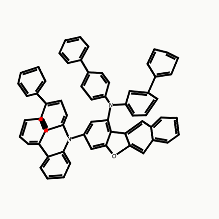 c1ccc(-c2ccc(N(c3cc(N(c4ccc(-c5ccccc5)cc4)c4cccc(-c5ccccc5)c4)c4c(c3)oc3cc5ccccc5cc34)c3ccccc3-c3ccccc3)cc2)cc1